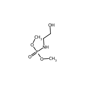 COP(=O)(NCCO)OC